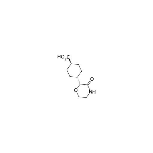 O=C1NCCOC1[C@H]1CC[C@H](C(=O)O)CC1